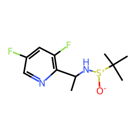 CC(N[S+]([O-])C(C)(C)C)c1ncc(F)cc1F